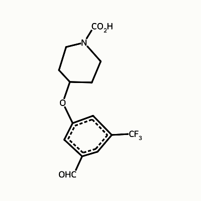 O=Cc1cc(OC2CCN(C(=O)O)CC2)cc(C(F)(F)F)c1